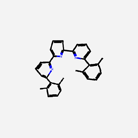 Cc1cccc(C)c1-c1cccc(-c2cccc(-c3cccc(-c4c(C)cccc4C)n3)n2)n1